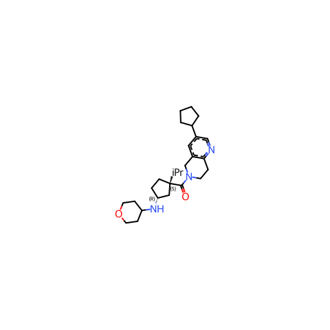 CC(C)[C@]1(C(=O)N2CCc3ncc(C4CCCC4)cc3C2)CC[C@@H](NC2CCOCC2)C1